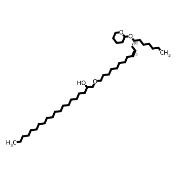 CCCCCCCCCCCCCCCCCCC(O)COCCCCCCCC/C=C\C[C@@H](CCCCCC)OC1CCCCO1